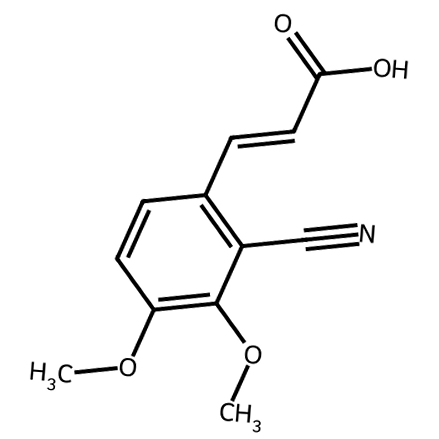 COc1ccc(C=CC(=O)O)c(C#N)c1OC